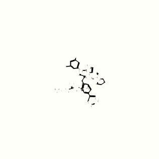 CNC(=O)NC.C[C@@]1(Cc2ccc(-c3cncnc3)cc2)C(=O)N(c2cc(Cl)cc(Cl)c2)c2ncc(S(=O)(=O)N3CCC[C@H]3C(=O)O)n21